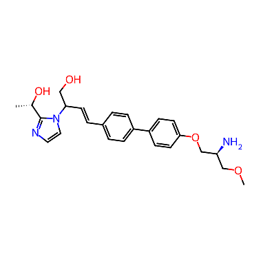 COC[C@H](N)COc1ccc(-c2ccc(C=CC(CO)n3ccnc3[C@H](C)O)cc2)cc1